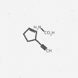 C#CC1C=CCC1.NC(=O)O